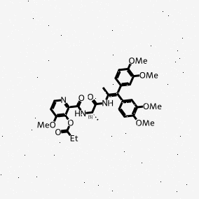 CCC(=O)Oc1c(OC)ccnc1C(=O)N[C@@H](C)C(=O)NC(C)=C(c1ccc(OC)c(OC)c1)c1ccc(OC)c(OC)c1